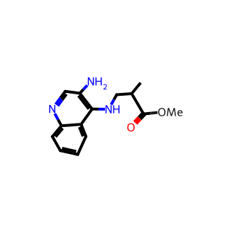 COC(=O)C(C)CNc1c(N)cnc2ccccc12